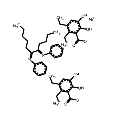 CCCCCC(=Nc1ccccc1)C(CCCC)=Nc1ccccc1.CCc1cc(O)c(O)c(C(=O)[O-])c1CC.CCc1cc(O)c(O)c(C(=O)[O-])c1CC.[Ni+2]